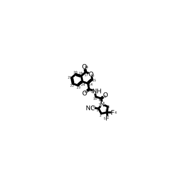 N#CC1CC(F)(F)CN1C(=O)CNC(=O)c1coc(=O)c2ccccc12